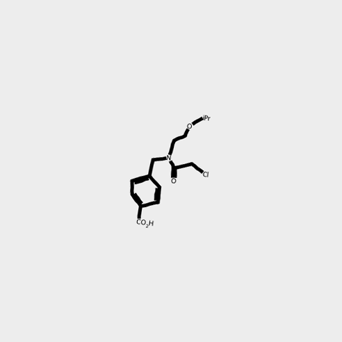 CC(C)OCCN(Cc1ccc(C(=O)O)cc1)C(=O)CCl